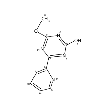 COc1nc(O)nc(-c2ccccn2)n1